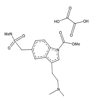 CNS(=O)(=O)Cc1ccc2c(c1)c(CCN(C)C)cn2C(=O)OC.O=C(O)C(=O)O